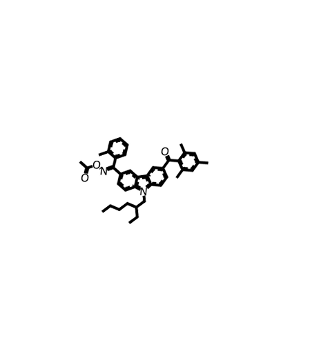 CCCCC(CC)Cn1c2ccc(C(=O)c3c(C)cc(C)cc3C)cc2c2cc(/C(=N/OC(C)=O)c3ccccc3C)ccc21